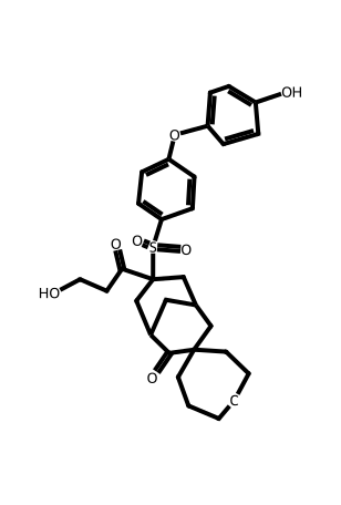 O=C1C2CC(CC13CCCCCC3)CC(C(=O)CCO)(S(=O)(=O)c1ccc(Oc3ccc(O)cc3)cc1)C2